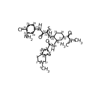 CN1CCc2nc(C(=O)N[C@@H]3C[C@@H](C(=O)N(C)C)CC[C@@H]3NC(=S)C(=O)Nc3ccc(Cl)c(N)c3)sc2C1